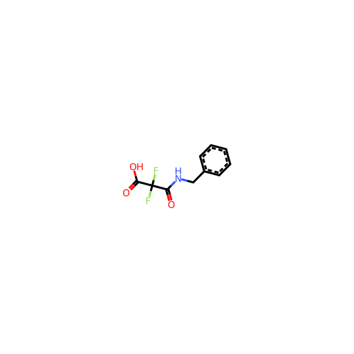 O=C(O)C(F)(F)C(=O)NCc1ccccc1